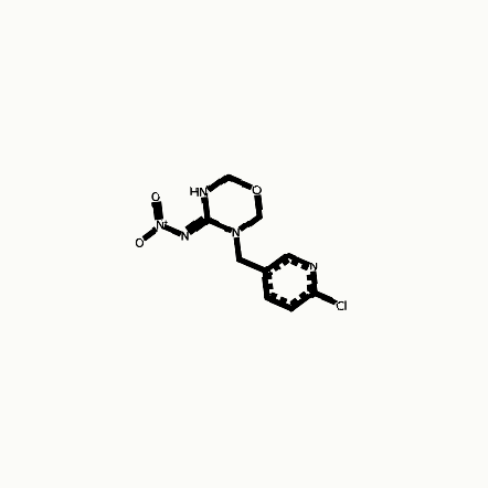 O=[N+]([O-])N=C1NCOCN1Cc1ccc(Cl)nc1